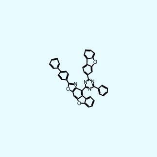 c1ccc(-c2ccc(-c3nc4c(-c5nc(-c6ccccc6)nc(-c6ccc7c(c6)oc6ccccc67)n5)c5c(cc4o3)oc3ccccc35)cc2)cc1